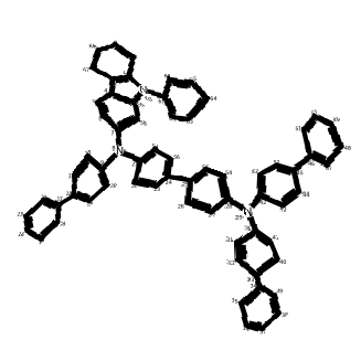 C1=Cc2c(c3ccc(N(c4ccc(-c5ccccc5)cc4)c4ccc(-c5ccc(N(c6ccc(-c7ccccc7)cc6)c6ccc(-c7ccccc7)cc6)cc5)cc4)cc3n2-c2ccccc2)CC1